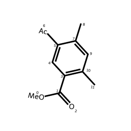 COC(=O)c1cc(C(C)=O)c(C)cc1C